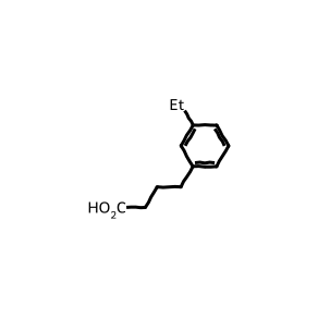 CCc1cccc(CCCC(=O)O)c1